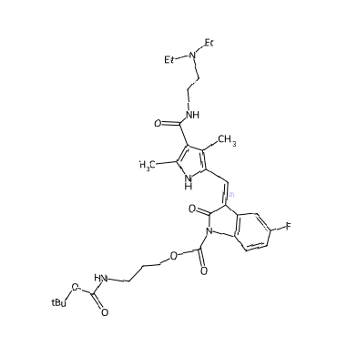 CCN(CC)CCNC(=O)c1c(C)[nH]c(/C=C2\C(=O)N(C(=O)OCCCNC(=O)OC(C)(C)C)c3ccc(F)cc32)c1C